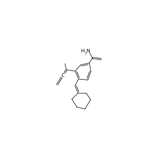 C=C=C(C)c1cc(C(=C)N)ccc1C=C1CCCCC1